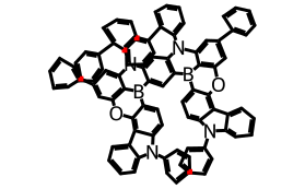 c1ccc(-c2cc3c4c(c2)N(c2ccccc2-c2ccccc2)c2cc5c(cc2B4c2ccc4c(c2O3)c2ccccc2n4-c2ccccc2)B2c3ccc4c(c3Oc3cc(-c6ccccc6)cc(c32)N5c2ccccc2-c2ccccc2)c2ccccc2n4-c2ccccc2)cc1